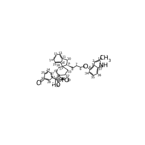 Cc1cc2c(OCCC[C@@H]3Cc4ccccc4C34CCC(Nc3cccc(Cl)c3)(C(=O)O)CC4)cccc2[nH]1